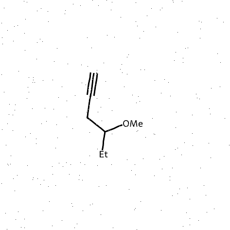 [C]#CCC(CC)OC